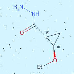 CCO[C@@H]1C[C@H]1C(=O)NN